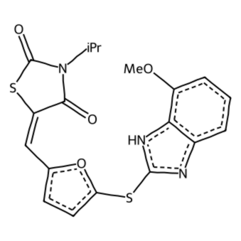 COc1cccc2nc(Sc3ccc(C=C4SC(=O)N(C(C)C)C4=O)o3)[nH]c12